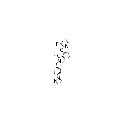 O=C1c2c(cccc2Oc2ncccc2F)CN1Cc1ccc(-n2cccn2)cc1